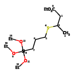 CCOC(=O)CC(C)SCCC[Si](OCC)(OCC)OCC